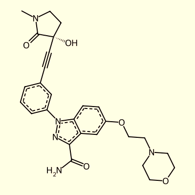 CN1CC[C@@](O)(C#Cc2cccc(-n3nc(C(N)=O)c4cc(OCCN5CCOCC5)ccc43)c2)C1=O